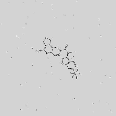 CN(C(=O)c1cc2c3c(c(N)nc2cn1)COC3)[C@@H]1COc2cc(S(F)(F)(F)(F)F)ccc21